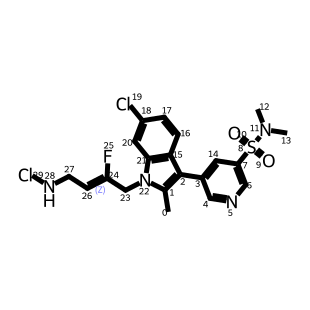 Cc1c(-c2cncc(S(=O)(=O)N(C)C)c2)c2ccc(Cl)cc2n1C/C(F)=C/CNCl